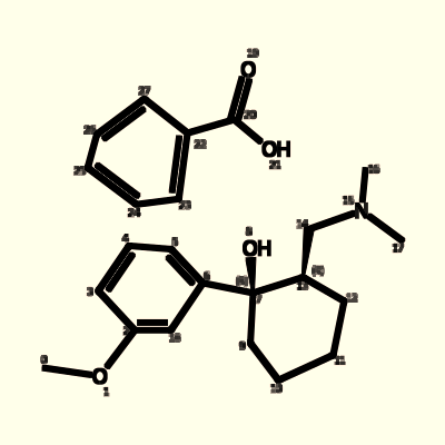 COc1cccc([C@@]2(O)CCCC[C@@H]2CN(C)C)c1.O=C(O)c1ccccc1